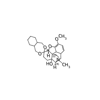 COC1=C2O[C@H]3C4(CCC5(O)[C@H]6CC(C=C1)C2[C@@]35CCN6C)OCC1CCCCC1CO4